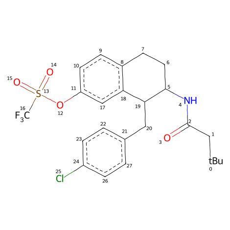 CC(C)(C)CC(=O)NC1CCc2ccc(OS(=O)(=O)C(F)(F)F)cc2C1Cc1ccc(Cl)cc1